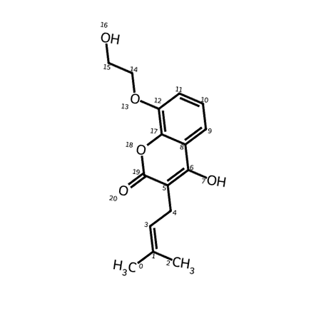 CC(C)=CCc1c(O)c2cccc(OCCO)c2oc1=O